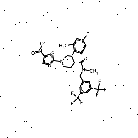 Cc1cc(F)ccc1[C@@H]1CN(c2ncc([N+](=O)[O-])s2)CC[C@H]1C(=O)N(C)Cc1cc(C(F)(F)F)cc(C(F)(F)F)c1